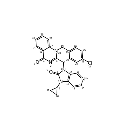 O=c1nc(Cn2c(=O)n(C3CC3)c3ccncc32)n(Cc2ccc(Cl)cc2)c2ccccc12